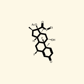 CCSC(=O)[C@@]1(OC(C)=O)[C@H](C)C[C@H]2C3C[C@H](F)C4=CC(=O)C=C[C@]4(C)[C@@]3(F)[C@@H](O)C[C@@]21C